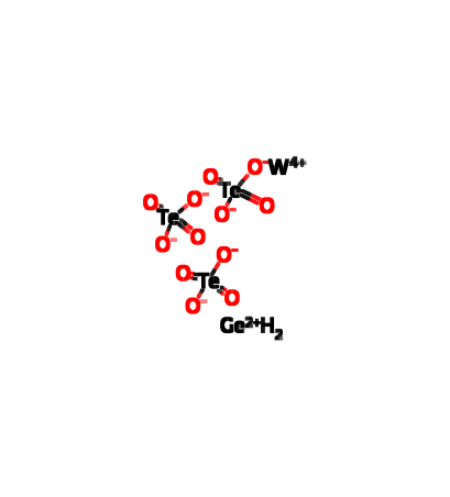 O=[Te](=O)([O-])[O-].O=[Te](=O)([O-])[O-].O=[Te](=O)([O-])[O-].[GeH2+2].[W+4]